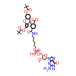 CO[C@H]1C[C@H](n2cnc3c(=O)[nH]c(N)nc32)O[C@@H]1COP(=O)(O)OCCCCCCNC(=O)c1ccc2c(c1)C1(OC2=O)c2ccc(OC(=O)C(C)(C)C)cc2Oc2cc(OC(=O)C(C)(C)C)ccc21